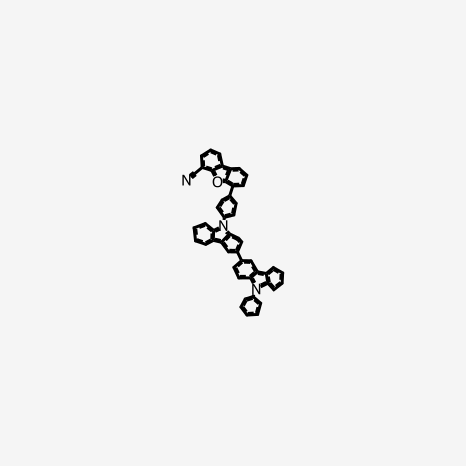 N#Cc1cccc2c1oc1c(-c3ccc(-n4c5ccccc5c5cc(-c6ccc7c(c6)c6ccccc6n7-c6ccccc6)ccc54)cc3)cccc12